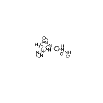 C[C@H]1COCCN1c1nc(-c2ccc(NC(=O)NC3CCC3)cc2)nc2c1CCN(c1ncccn1)C2